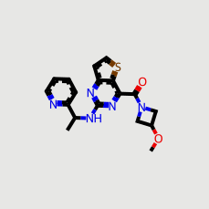 COC1CN(C(=O)c2nc(NC(C)c3ccccn3)nc3ccsc23)C1